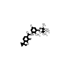 Cc1c(NC(=O)c2ccc3c(c2F)OCC32CC2)cc(F)cc1B1OC(C)(C)C(C)(C)O1